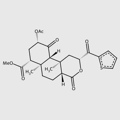 COC(=O)[C@@H]1C[C@H](OC(C)=O)C(=O)[C@H]2[C@@]1(C)CC[C@H]1C(=O)O[C@@H](C(=O)c3cccs3)C[C@]21C